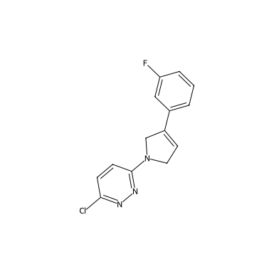 Fc1cccc(C2=CCN(c3ccc(Cl)nn3)C2)c1